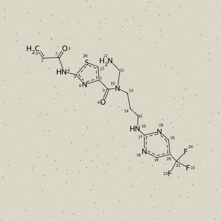 C=CC(=O)Nc1nc(C(=O)N(CN)CCCNc2ncc(C(F)(F)F)cn2)cs1